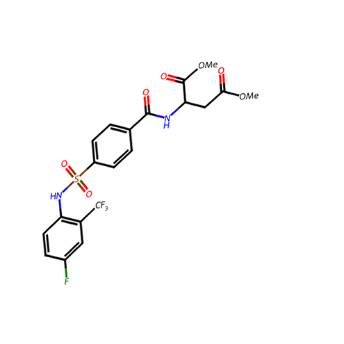 COC(=O)CC(NC(=O)c1ccc(S(=O)(=O)Nc2ccc(F)cc2C(F)(F)F)cc1)C(=O)OC